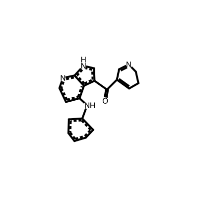 O=C(C1=CCCN=C1)c1c[nH]c2nccc(Nc3ccccc3)c12